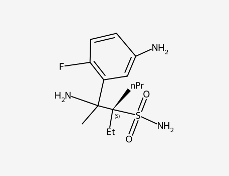 CCC[C@@](CC)(C(C)(N)c1cc(N)ccc1F)S(N)(=O)=O